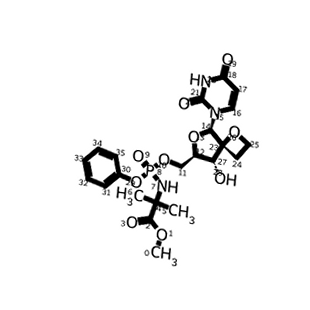 COC(=O)C(C)(C)NP(=O)(OC[C@H]1O[C@@H](n2ccc(=O)[nH]c2=O)[C@@]2(CCO2)[C@@H]1O)Oc1ccccc1